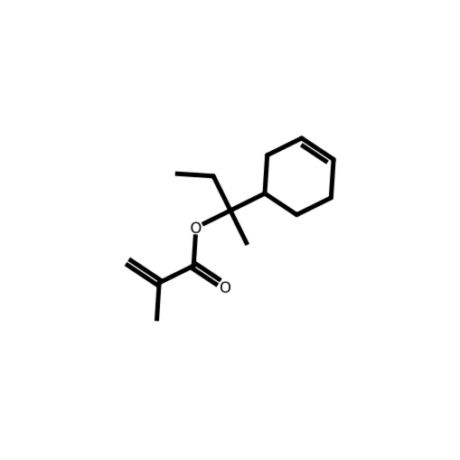 C=C(C)C(=O)OC(C)(CC)C1CC=CCC1